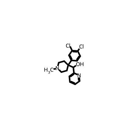 CN1CCC(c2ccc(Cl)c(Cl)c2)(C(O)c2ccccn2)CC1